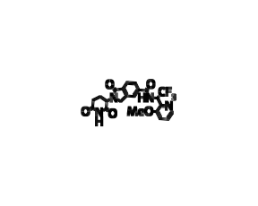 COc1cccnc1C(NC(=O)c1ccc2c(c1)CN(C1CCC(=O)NC1=O)C2=O)C(F)(F)F